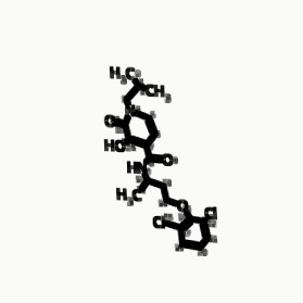 CC(C)Cn1ccc(C(=O)NC(C)CCOc2c(Cl)cccc2Cl)c(O)c1=O